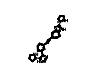 C(#Cc1ccc2[nH]c([C@@H]3CCCN3)nc2c1)c1cccc(-c2nc[nH]c2[C@@H]2CCCN2)c1